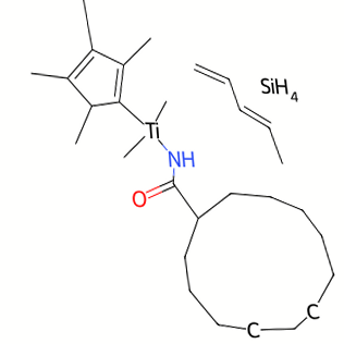 C=CC=CC.CC1=C(C)C(C)[C]([Ti]([CH3])([CH3])[NH]C(=O)C2CCCCCCCCCCC2)=C1C.[SiH4]